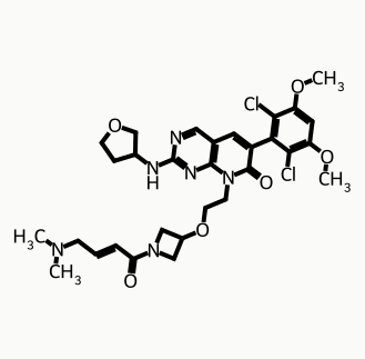 COc1cc(OC)c(Cl)c(-c2cc3cnc(NC4CCOC4)nc3n(CCOC3CN(C(=O)C=CCN(C)C)C3)c2=O)c1Cl